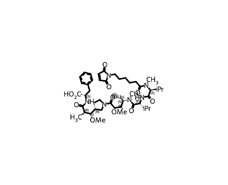 CC[C@H](C)[C@@H]([C@@H](CC(=O)N1CC[C@@H]([C@H](OC)[C@@H](C)C(=O)N[C@@H](Cc2ccccc2)C(=O)O)C1)OC)N(C)C(=O)[C@H](NC(=O)[C@H](C(C)C)N(C)C(=O)CCCCCN1C(=O)C=CC1=O)C(C)C